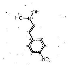 O=[N+]([O-])c1ccc(C=CB(O)O)cc1